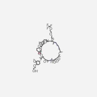 CO[C@@H]1C[C@H](C[C@@H](C)[C@@H]2CC(=O)[C@H](C)/C=C(\C)[C@@H](O)[C@@H](OC)C(=O)[C@H](C)C[C@H](C)/C=C/C=C/C=C(\C)[C@H](OCCOCCOC(F)(F)F)C[C@@H]3CC[C@@H](C)[C@@](O)(O3)C(=O)C(=O)N3CCCC[C@H]3C(=O)O2)CC[C@H]1OCCO